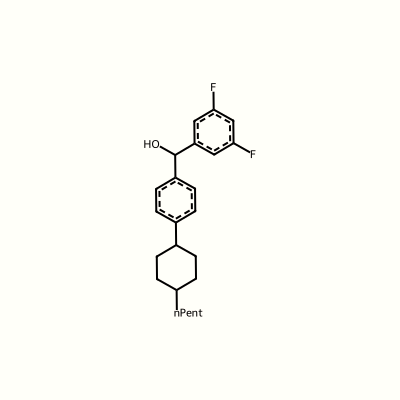 CCCCCC1CCC(c2ccc(C(O)c3cc(F)cc(F)c3)cc2)CC1